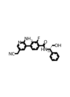 N#CCc1cnc(N)c(-c2ccc(C(=O)N[C@H](CO)c3ccccc3)c(F)c2)c1